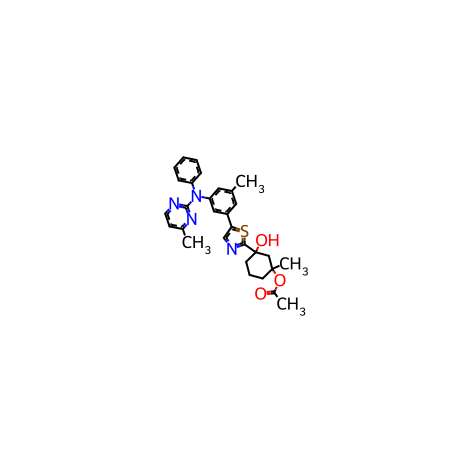 CC(=O)OC1(C)CCCC(O)(c2ncc(-c3cc(C)cc(N(c4ccccc4)c4nccc(C)n4)c3)s2)C1